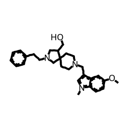 COc1ccc2c(c1)c(CN1CCC3(CC1)CN(CCc1ccccc1)CC3CO)cn2C